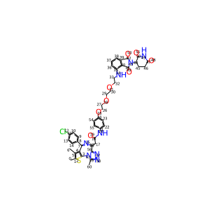 Cc1sc2c(c1C)C(c1ccc(Cl)cc1)=N[C@@H](CC(=O)Nc1ccc(OCCOCCOCCNc3cccc4c3C(=O)N(C3CCC(=O)NC3=O)C4=O)cc1)c1nnc(C)n1-2